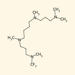 CN(C)CCCN(C)CCCCN(C)CCCN(C)C(F)(F)F